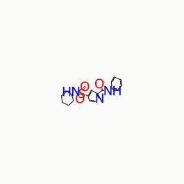 O=C(Nc1ccccc1)c1cc(S(=O)(=O)NC2CCCCC2)ccn1